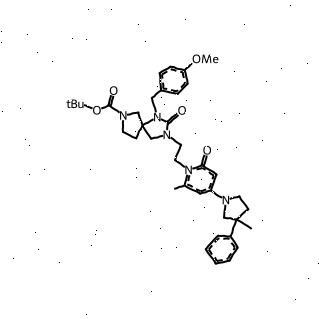 COc1ccc(CN2C(=O)N(CCn3c(C)cc(N4CCC(C)(c5ccccc5)C4)cc3=O)CC23CCN(C(=O)OC(C)(C)C)C3)cc1